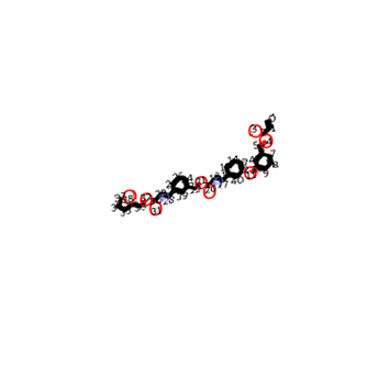 C=CC(=O)OCc1cccc(Oc2cccc(/C=C/C(=O)OCc3cccc(/C=C/C(=O)OCC4CCCO4)c3)c2)c1